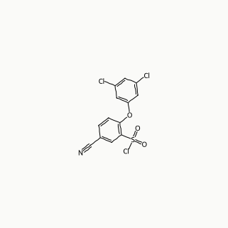 N#Cc1ccc(Oc2cc(Cl)cc(Cl)c2)c(S(=O)(=O)Cl)c1